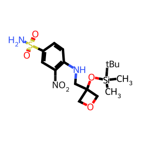 CC(C)(C)[Si](C)(C)OC1(CNc2ccc(S(N)(=O)=O)cc2[N+](=O)[O-])COC1